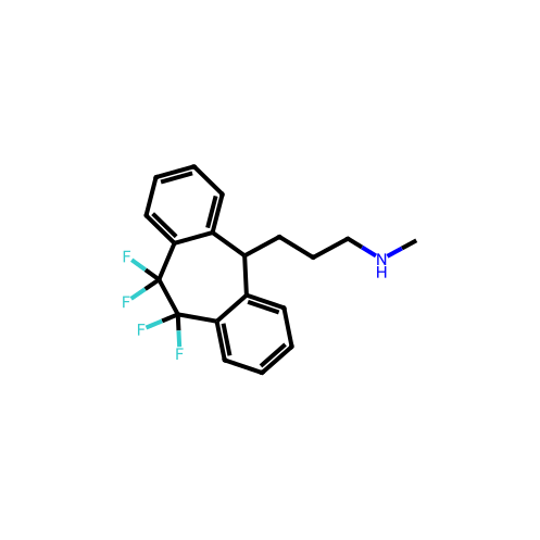 CNCCCC1c2ccccc2C(F)(F)C(F)(F)c2ccccc21